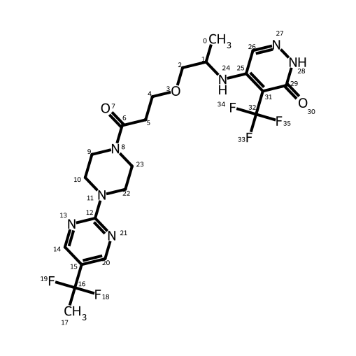 CC(COCCC(=O)N1CCN(c2ncc(C(C)(F)F)cn2)CC1)Nc1cn[nH]c(=O)c1C(F)(F)F